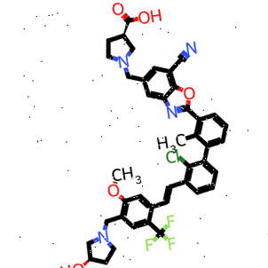 COc1cc(/C=C/c2cccc(-c3cccc(-c4nc5cc(CN6CC[C@@H](C(=O)O)C6)cc(C#N)c5o4)c3C)c2Cl)c(C(F)(F)F)cc1CN1CC[C@@H](O)C1